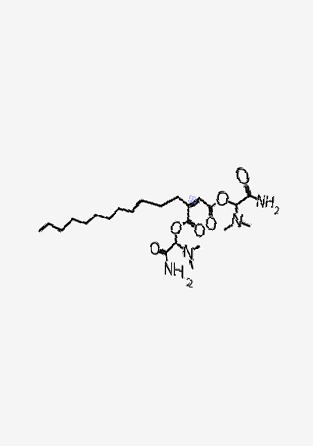 CCCCCCCCCCCC/C(=C/C(=O)OC(C(N)=O)N(C)C)C(=O)OC(C(N)=O)N(C)C